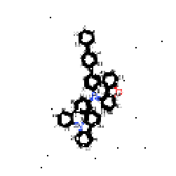 c1ccc(-c2ccc(-c3ccc(N(c4ccc(-c5ccccc5-n5c6ccccc6c6ccccc65)cc4)c4cccc5oc6ccccc6c45)cc3)cc2)cc1